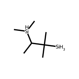 CC([SiH](C)C)C(C)(C)[SiH3]